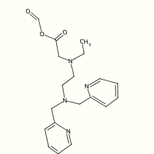 CCN(CCN(Cc1ccccn1)Cc1ccccn1)CC(=O)OC=O